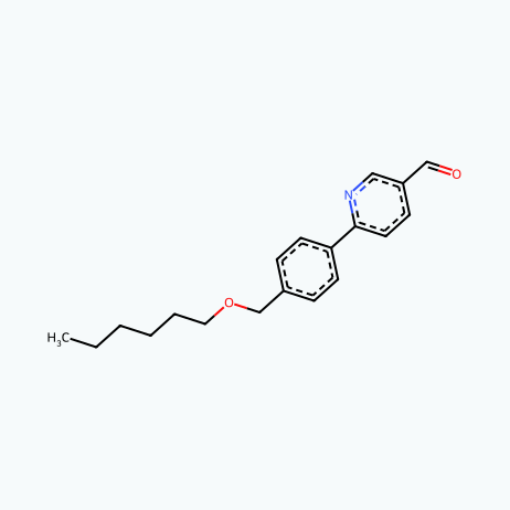 CCCCCCOCc1ccc(-c2ccc(C=O)cn2)cc1